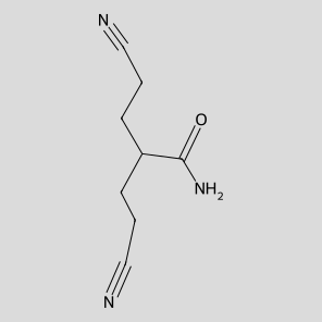 N#CCCC(CCC#N)C(N)=O